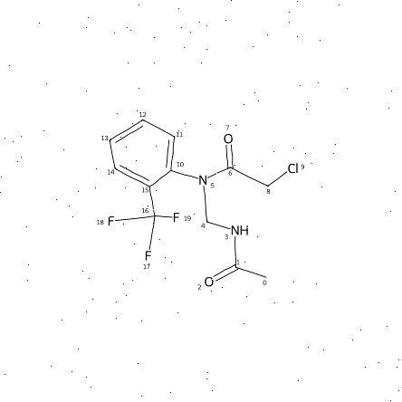 CC(=O)NCN(C(=O)CCl)c1ccccc1C(F)(F)F